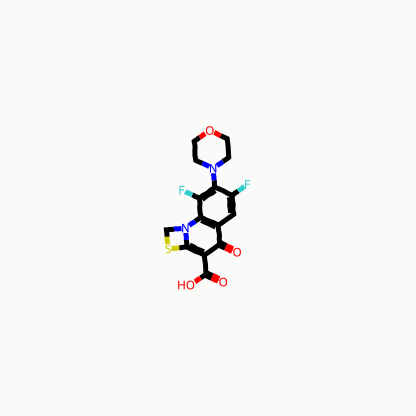 O=C(O)c1c2n(c3c(F)c(N4CCOCC4)c(F)cc3c1=O)CS2